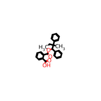 CCC(C)(c1ccccc1)C(OC(=O)c1ccccc1C(=O)O)c1ccccc1